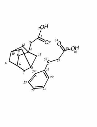 O=C(O)CC12CC3CC(CC(C3)C1)C2.O=C(O)CSc1ccccc1